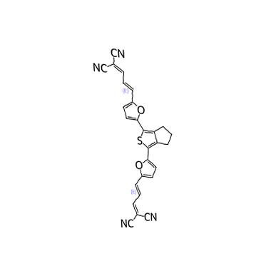 N#CC(C#N)=C/C=C/c1ccc(-c2sc(-c3ccc(/C=C/C=C(C#N)C#N)o3)c3c2CCC3)o1